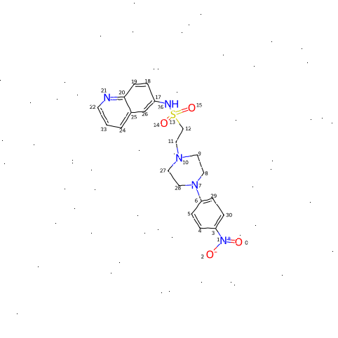 O=[N+]([O-])c1ccc(N2CCN(CCS(=O)(=O)Nc3ccc4ncccc4c3)CC2)cc1